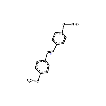 CCCCCCOc1ccc(/C=C/c2ccc(OC(F)(F)F)cc2)cc1